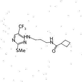 CSc1ncc(C(F)(F)F)c(NCCCNC(=O)C2CCC2)n1